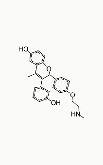 CNCCOc1ccc(C2Oc3ccc(O)cc3C(C)=C2c2cccc(O)c2)cc1